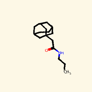 CCCNC(=O)CC12CC3CC(CC(C3)C1)C2